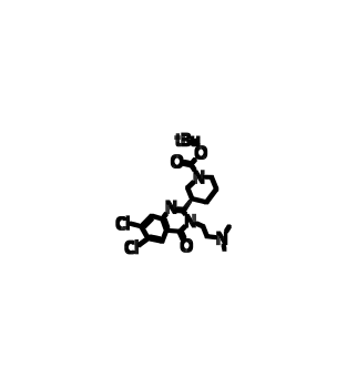 CN(C)CCn1c([C@@H]2CCCN(C(=O)OC(C)(C)C)C2)nc2cc(Cl)c(Cl)cc2c1=O